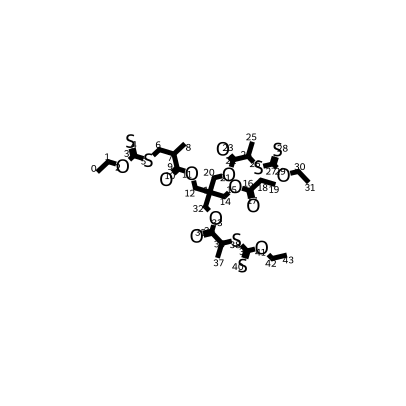 CCOC(=S)SCC(C)C(=O)OCC(COC(=O)CC)(COC(=O)C(C)SC(=S)OCC)COC(=O)C(C)SC(=S)OCC